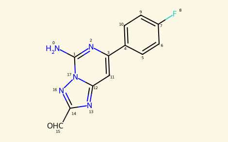 Nc1nc(-c2ccc(F)cc2)cc2nc(C=O)nn12